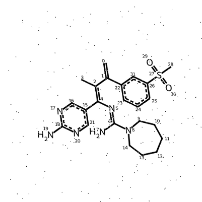 C=C(/C(C)=C(\N=C(/N)N1CCCCCC1)c1cnc(N)nc1)c1cccc(S(C)(=O)=O)c1